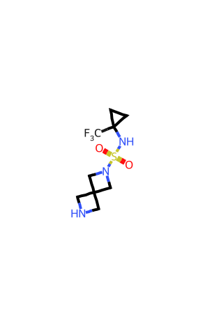 O=S(=O)(NC1(C(F)(F)F)CC1)N1CC2(CNC2)C1